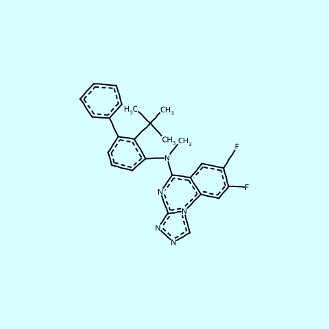 CN(c1cccc(-c2ccccc2)c1C(C)(C)C)c1nc2nncn2c2cc(F)c(F)cc12